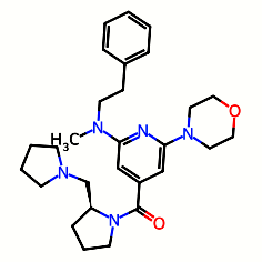 CN(CCc1ccccc1)c1cc(C(=O)N2CCC[C@H]2CN2CCCC2)cc(N2CCOCC2)n1